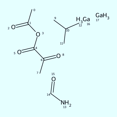 CC(=O)OC(=O)C(C)=O.C[C](C)C.NC=O.[GaH3].[GaH3]